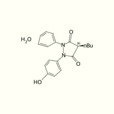 CCCC[C@@H]1C(=O)N(c2ccccc2)N(c2ccc(O)cc2)C1=O.O